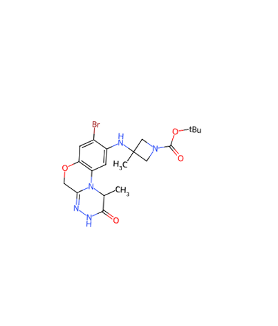 CC1C(=O)NN=C2COc3cc(Br)c(NC4(C)CN(C(=O)OC(C)(C)C)C4)cc3N21